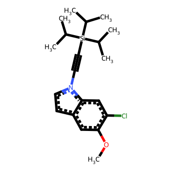 COc1cc2ccn(C#C[Si](C(C)C)(C(C)C)C(C)C)c2cc1Cl